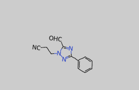 N#CCCn1nc(-c2ccccc2)nc1C=O